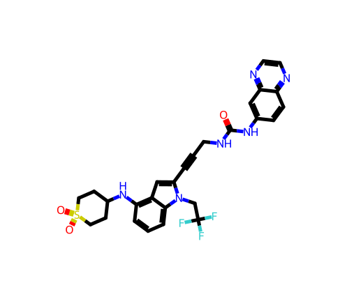 O=C(NCC#Cc1cc2c(NC3CCS(=O)(=O)CC3)cccc2n1CC(F)(F)F)Nc1ccc2nccnc2c1